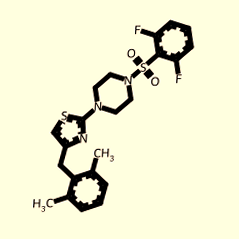 Cc1cccc(C)c1Cc1csc(N2CCN(S(=O)(=O)c3c(F)cccc3F)CC2)n1